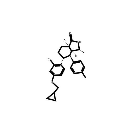 Cc1ccc([C@@H]2[C@@H]3[C@@H](C)NC(=O)[C@]3(C)CC[C@H]2c2ccc(OCC3CC3)cc2Cl)cc1